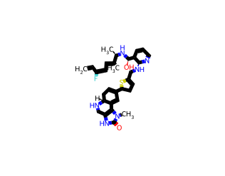 C=C/C(F)=C\C=C(/C)[C@H](C)N[C@@H](O)C1C=CC=N[C@@H]1NCC1=CCC(C2=CC[C@@H]3NCc4[nH]c(=O)n(C)c4C3=C2)S1